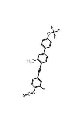 Cc1cc(-c2ccc(OC(F)(F)F)cc2)ccc1C#Cc1ccc(N=C=S)c(F)c1